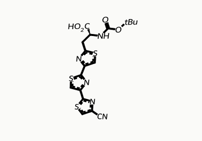 CC(C)(C)OC(=O)N[C@@H](Cc1nc(-c2nc(-c3nc(C#N)cs3)cs2)cs1)C(=O)O